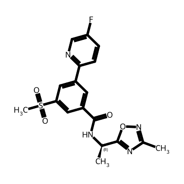 Cc1noc([C@@H](C)NC(=O)c2cc(-c3ccc(F)cn3)cc(S(C)(=O)=O)c2)n1